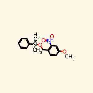 COc1ccc(CO[Si](C)(C)c2ccccc2)c([N+](=O)[O-])c1